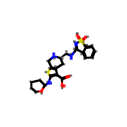 O=C(O)c1c(NC2CCCCO2)sc2c1C[C@@H](CNC1=NS(=O)(=O)c3ccccc31)NC2